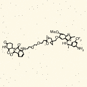 COc1cc2nc(C)nc(N[C@H](C)c3cc(N)cc(C(F)(F)F)c3)c2cc1OCC1(CN(C)C(=O)CCOCCOCCNc2cccc3c2C(=O)N(C2CCC(=O)NC2=O)C3=O)CC1